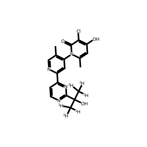 [2H]C([2H])([2H])C(O)(c1nccc(-c2cc(-n3c(C)cc(O)c(Cl)c3=O)c(C)cn2)n1)C([2H])([2H])[2H]